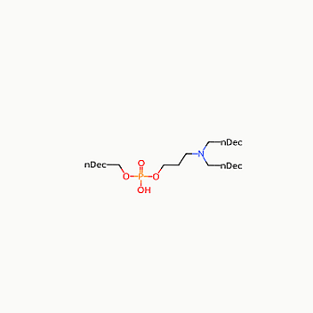 CCCCCCCCCCCOP(=O)(O)OCCCN(CCCCCCCCCCC)CCCCCCCCCCC